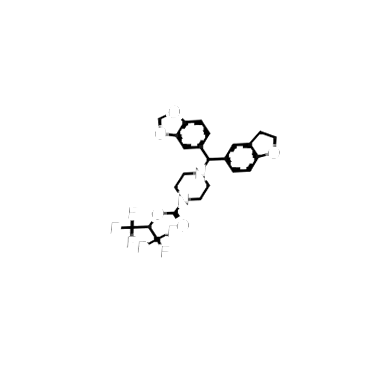 O=C(OC(C(F)(F)F)C(F)(F)F)N1CCN(C(c2ccc3c(c2)CCO3)c2ccc3c(c2)OCO3)CC1